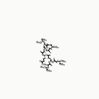 COC(=O)CCSP(OC(C)CSP(OC(C)CSP(OCC(C)C)OCC(C)C)OC(C)CSP(OCC(C)C)OCC(C)C)OC(C)CSP(=O)(OC(C)CSP(OCC(C)C)OCC(C)C)OC(C)CSP(OCC(C)C)OCC(C)C